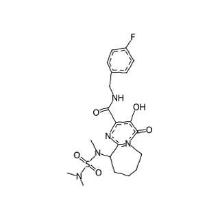 CN(C)S(=O)(=O)N(C)C1CCCCn2c1nc(C(=O)NCc1ccc(F)cc1)c(O)c2=O